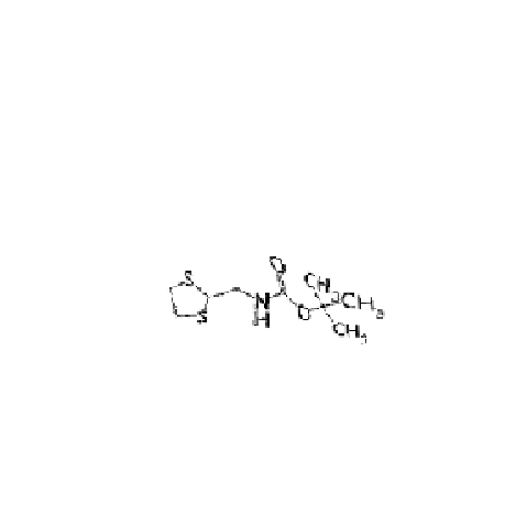 CC(C)(C)OC(=O)NCC1SCCS1